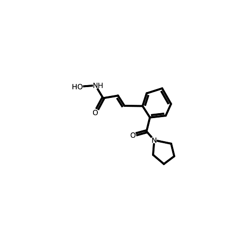 O=C(C=Cc1ccccc1C(=O)N1CCCC1)NO